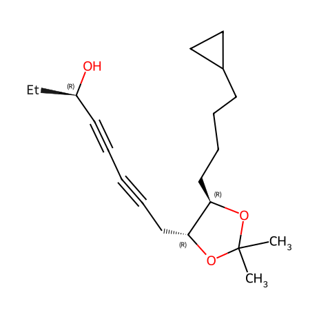 CC[C@@H](O)C#CC#CC[C@H]1OC(C)(C)O[C@@H]1CCCCC1CC1